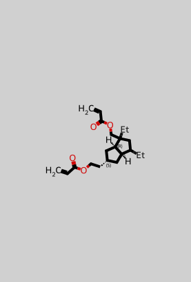 C=CC(=O)OCC[C@H]1C[C@@H]2C(CC)CC(CC)(COC(=O)C=C)[C@@H]2C1